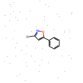 CCc1cc(-c2ccccc2)on1